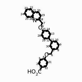 O=C(O)c1ccc(OCc2cccc(-c3ccc(OCc4ccc5ccccc5n4)cc3)c2)cc1